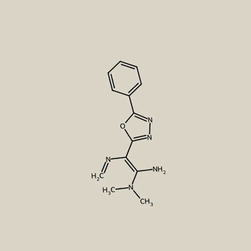 C=N/C(=C(/N)N(C)C)c1nnc(-c2ccccc2)o1